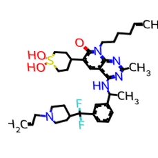 C=CCCCCn1c(=O)c(C2CCS(O)(O)CC2)cc2c(NC(C)c3cccc(C(F)(F)C4CCN(CC=C)CC4)c3)nc(C)nc21